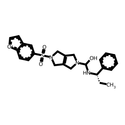 CC[C@H](NC(O)N1CC2=C(C1)CN(S(=O)(=O)c1ccc3occc3c1)C2)c1ccccc1